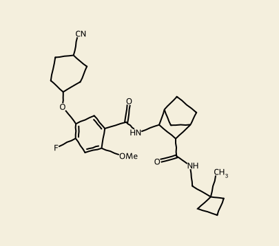 COc1cc(F)c(OC2CCC(C#N)CC2)cc1C(=O)NC1C2CCC(C2)C1C(=O)NCC1(C)CCC1